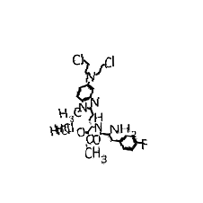 CCOC(=O)[C@H](CCc1nc2cc(N(CCCl)CCCl)ccc2n1C)NC(=O)[C@@H](N)Cc1ccc(F)cc1.Cl.Cl